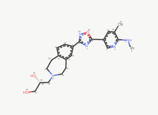 CC(C)Nc1ncc(-c2nc(-c3ccc4c(c3)CCN(C[C@@H](O)CO)CC4)no2)cc1C#N